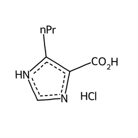 CCCc1[nH]cnc1C(=O)O.Cl